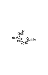 Cc1ccc(NC(=O)c2cc(C(=O)NCCN(C)C)cc(C(C)(C)C)c2)cc1-c1cc(C(=O)NCC(C)(C)C)on1